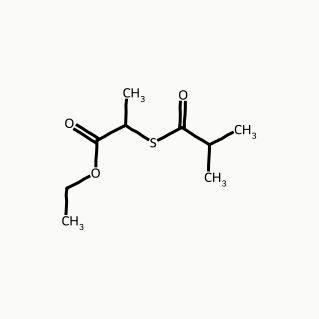 CCOC(=O)C(C)SC(=O)C(C)C